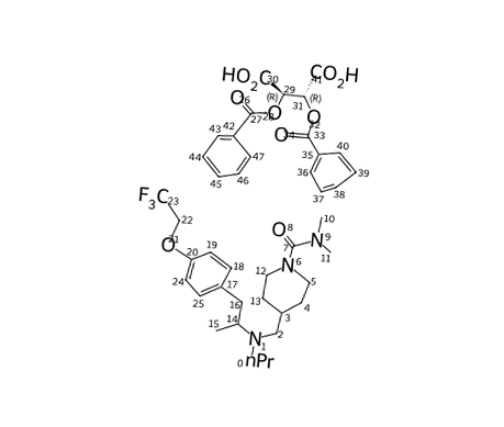 CCCN(CC1CCN(C(=O)N(C)C)CC1)C(C)Cc1ccc(OCC(F)(F)F)cc1.O=C(O[C@@H](C(=O)O)[C@@H](OC(=O)c1ccccc1)C(=O)O)c1ccccc1